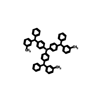 Cc1cccc(C(c2ccccc2)c2ccc(N(c3ccc(C(c4ccccc4)c4cccc(C)c4)cc3)c3ccc(C(c4ccccc4)c4cccc(C)c4)cc3)cc2)c1